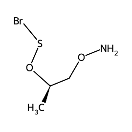 C[C@H](CON)OSBr